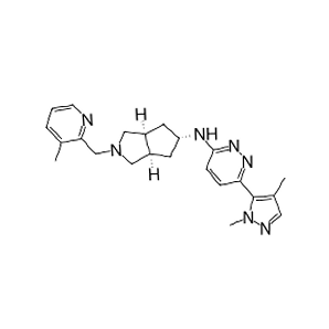 Cc1cccnc1CN1C[C@H]2C[C@H](Nc3ccc(-c4c(C)cnn4C)nn3)C[C@H]2C1